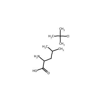 CC(C)(C)Cl.CC(C)CC(N)C(=O)O